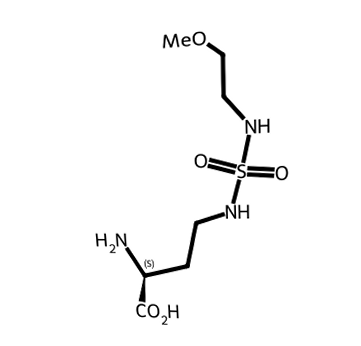 COCCNS(=O)(=O)NCC[C@H](N)C(=O)O